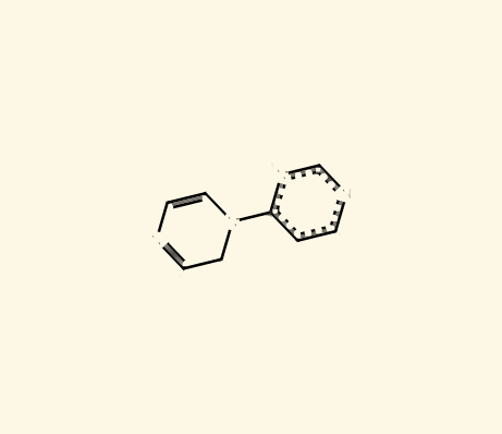 C1=CN(c2ccncn2)CC=N1